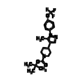 Cc1c(C2=CCN(C(=O)OC(C)(C)C)CC2)cnn1-c1ccc(OC(F)(F)F)cc1